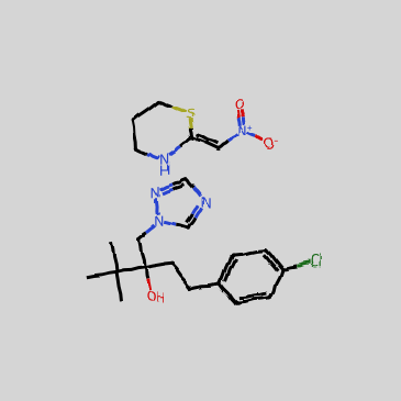 CC(C)(C)C(O)(CCc1ccc(Cl)cc1)Cn1cncn1.O=[N+]([O-])/C=C1/NCCCS1